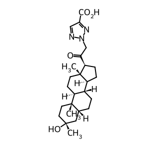 C[C@@]1(O)CC[C@@]2(C)[C@H](CC[C@@H]3[C@@H]2CC[C@]2(C)[C@@H](C(=O)Cn4ncc(C(=O)O)n4)CC[C@@H]32)C1